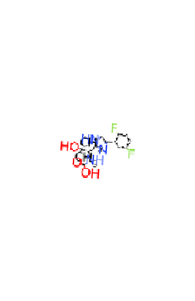 CC(C)(O)C(NC(=O)O)c1nc(-c2cc(F)ccc2F)c[nH]1